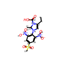 CCC1=CN(c2c([N+](=O)[O-])cc(S(C)(=O)=O)cc2[N+](=O)[O-])C(C)N1C(=O)O